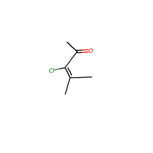 CC(=O)C(Cl)=C(C)C